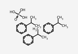 CC(C)c1ccccc1.CC(C)c1ccccc1.CC(C)c1ccccc1.O=P(O)(O)O